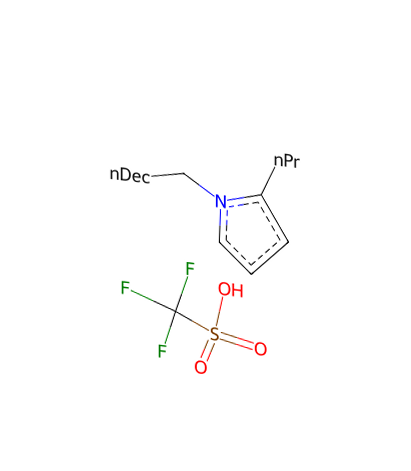 CCCCCCCCCCCn1cccc1CCC.O=S(=O)(O)C(F)(F)F